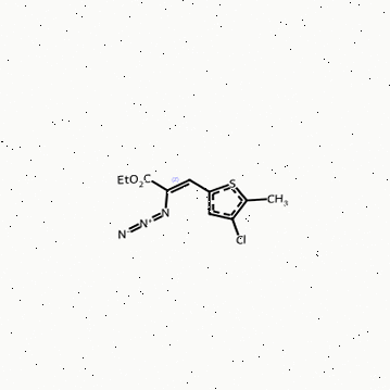 CCOC(=O)/C(=C/c1cc(Cl)c(C)s1)N=[N+]=[N-]